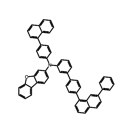 c1ccc(-c2ccc3cccc(-c4ccc(-c5cccc(N(c6ccc(-c7cccc8ccccc78)cc6)c6ccc7c(c6)oc6ccccc67)c5)cc4)c3c2)cc1